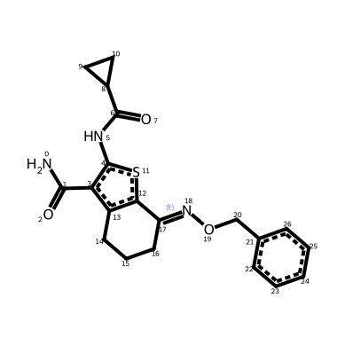 NC(=O)c1c(NC(=O)C2CC2)sc2c1CCC/C2=N\OCc1ccccc1